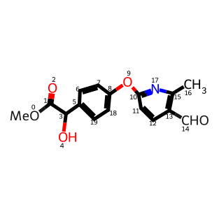 COC(=O)C(O)c1ccc(Oc2ccc(C=O)c(C)n2)cc1